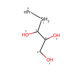 CCC[SiH2]C(O)C(O)CO